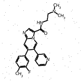 Cc1ccc(-c2cc3ncc(C(=O)NCCN(C)C)n3cc2-c2cccnc2)cc1F